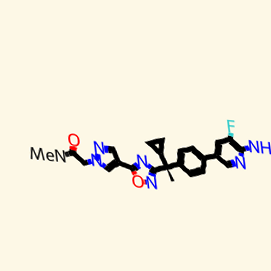 CNC(=O)Cn1cc(-c2nc([C@@](C)(c3ccc(-c4cnc(N)c(F)c4)cc3)C3CC3)no2)cn1